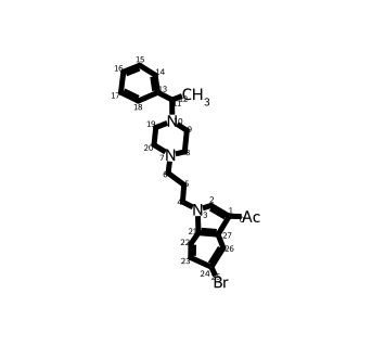 CC(=O)c1cn(CCCN2CCN(C(C)c3ccccc3)CC2)c2ccc(Br)cc12